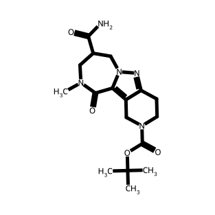 CN1CC(C(N)=O)Cn2nc3c(c2C1=O)CN(C(=O)OC(C)(C)C)CC3